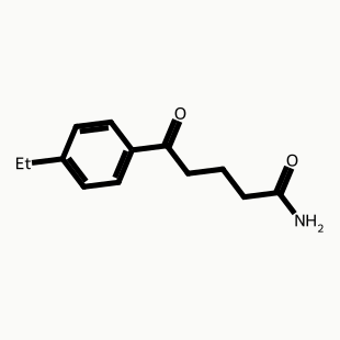 CCc1ccc(C(=O)CCCC(N)=O)cc1